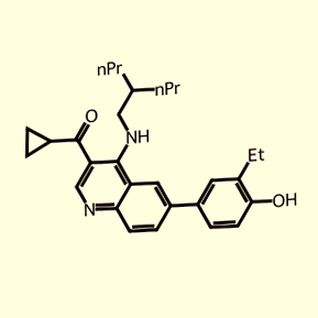 CCCC(CCC)CNc1c(C(=O)C2CC2)cnc2ccc(-c3ccc(O)c(CC)c3)cc12